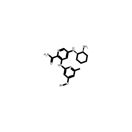 Cc1cc(OC(C)C)cc(Nc2cc(N[C@@H]3CCCC[C@@H]3N)cnc2C(N)=O)n1